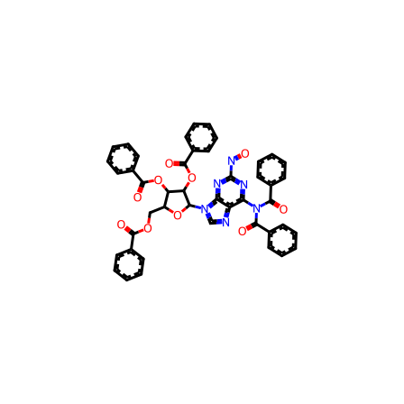 O=Nc1nc(N(C(=O)c2ccccc2)C(=O)c2ccccc2)c2ncn(C3OC(COC(=O)c4ccccc4)C(OC(=O)c4ccccc4)C3OC(=O)c3ccccc3)c2n1